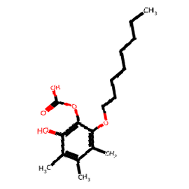 CCCCCCCCOc1c(C)c(C)c(C)c(O)c1OC(=O)O